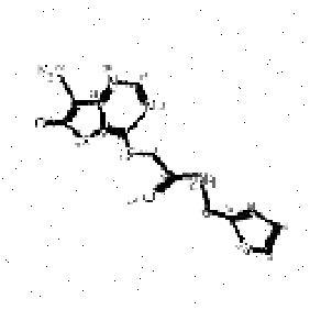 Cc1c(Cl)sc2c(SCC(=O)NCc3cccs3)ncnc12